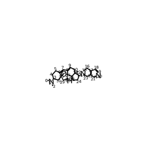 CN(C)[C@@H]1CCC2=CC3=CC[C@]4(C)[C@@H](N5CCc6ccncc6C5)CC[C@H]4[C@@]34CC[C@]2(C1)O4